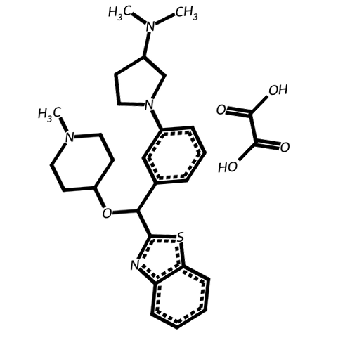 CN1CCC(OC(c2cccc(N3CCC(N(C)C)C3)c2)c2nc3ccccc3s2)CC1.O=C(O)C(=O)O